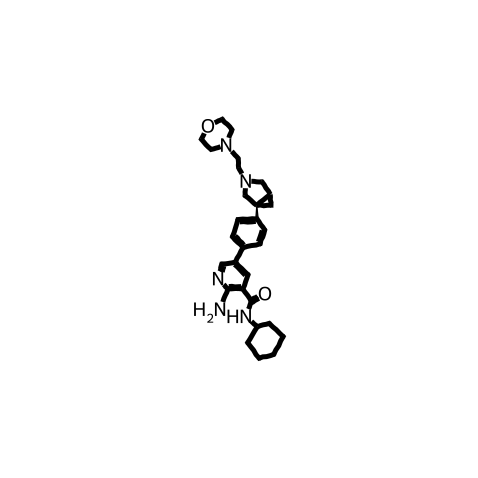 Nc1ncc(-c2ccc([C@]34CC3CN(CCN3CCOCC3)C4)cc2)cc1C(=O)NC1CCCCC1